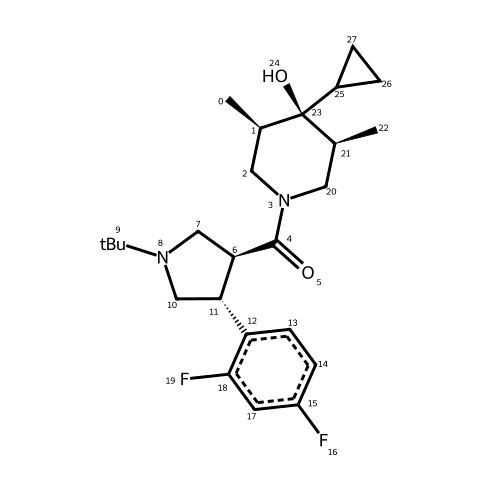 C[C@@H]1CN(C(=O)[C@@H]2CN(C(C)(C)C)C[C@H]2c2ccc(F)cc2F)C[C@H](C)[C@@]1(O)C1CC1